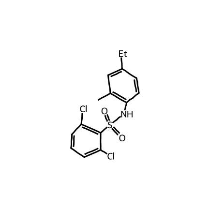 CCc1ccc(NS(=O)(=O)c2c(Cl)cccc2Cl)c(C)c1